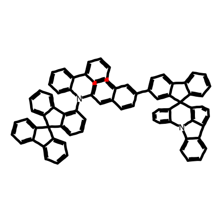 c1ccc(-c2ccccc2N(c2ccc3cc(-c4ccc5c(c4)C4(c6ccccc6-5)c5ccccc5-n5c6ccccc6c6cccc4c65)ccc3c2)c2cccc3c2-c2ccccc2C32c3ccccc3-c3ccccc32)cc1